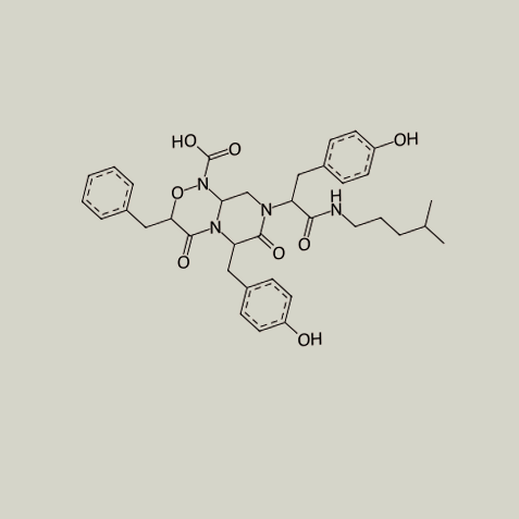 CC(C)CCCNC(=O)C(Cc1ccc(O)cc1)N1CC2N(C(=O)O)OC(Cc3ccccc3)C(=O)N2C(Cc2ccc(O)cc2)C1=O